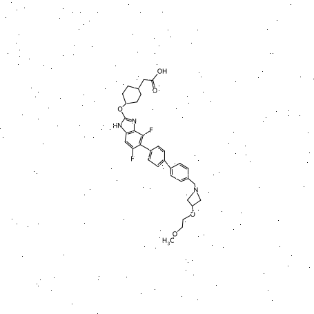 COCCOC1CN(Cc2ccc(-c3ccc(-c4c(F)cc5[nH]c(OC6CCC(CC(=O)O)CC6)nc5c4F)cc3)cc2)C1